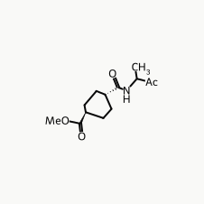 COC(=O)[C@H]1CC[C@H](C(=O)NC(C)C(C)=O)CC1